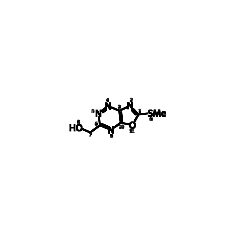 CSc1nc2nnc(CO)nc2o1